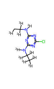 [2H]CC([2H])([2H])N([2H])c1nc(Cl)nc(N([2H])C([2H])([2H])C([2H])([2H])[2H])n1